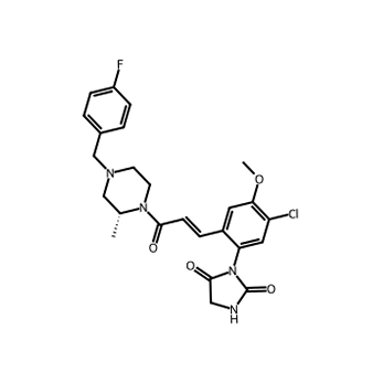 COc1cc(/C=C/C(=O)N2CCN(Cc3ccc(F)cc3)C[C@H]2C)c(N2C(=O)CNC2=O)cc1Cl